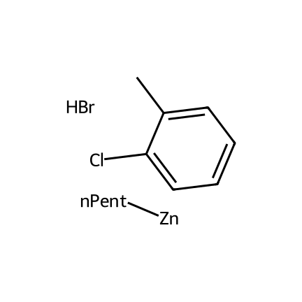 Br.CCCC[CH2][Zn].Cc1ccccc1Cl